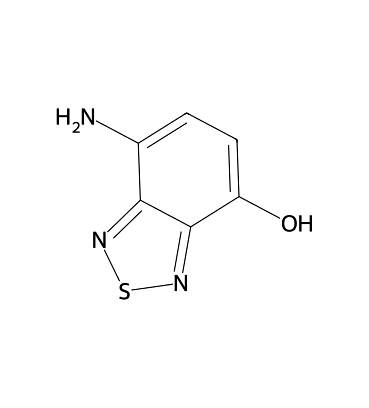 Nc1ccc(O)c2nsnc12